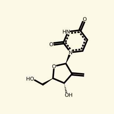 C=C1[C@H](n2ccc(=O)[nH]c2=O)O[C@H](CO)[C@H]1O